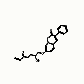 C=CC(=O)CCC(O)COC1=CC2SC(=S)C(c3ccccc3)=CC2C=C1